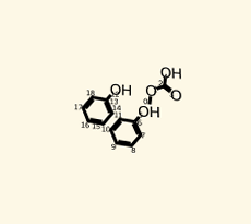 COC(=O)O.Oc1ccccc1.Oc1ccccc1